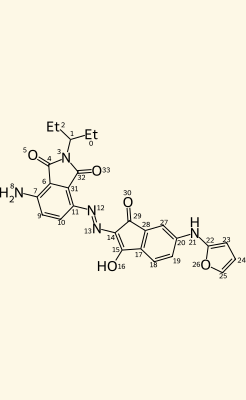 CCC(CC)N1C(=O)c2c(N)ccc(N=NC3=C(O)c4ccc(Nc5ccco5)cc4C3=O)c2C1=O